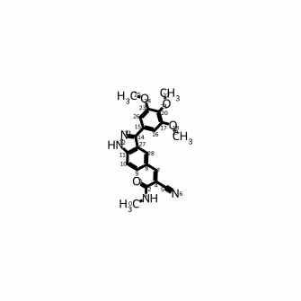 CNC(=O)C(C#N)=Cc1ccc2[nH]nc(-c3cc(OC)c(OC)c(OC)c3)c2c1